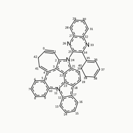 C1#Cc2c3c(c4ccccc4n4c5ccccc5c5ccc(c3c54)n2-c2nc3ccccc3nc2C2=CC=CCC2)=CC1